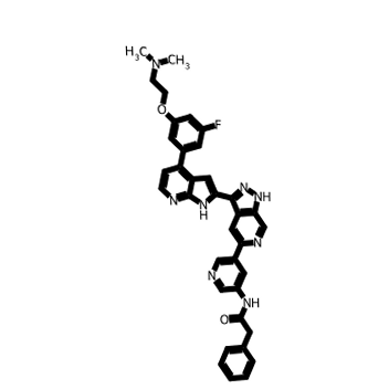 CN(C)CCOc1cc(F)cc(-c2ccnc3[nH]c(-c4n[nH]c5cnc(-c6cncc(NC(=O)Cc7ccccc7)c6)cc45)cc23)c1